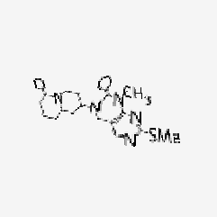 CSc1ncc2c(n1)N(C)C(=O)N(C1CCN3C(=O)CCCC3C1)C2